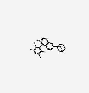 Cc1cc(C)c(F)c(-c2c3ccc(C4CC5CCC4CC5)cc3cc[n+]2C)c1C